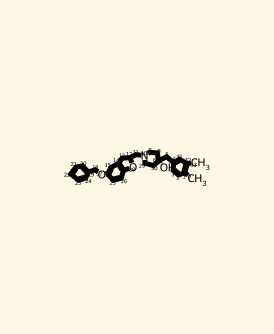 Cc1ccc(CC2(O)CCN(CC3Cc4cc(OCc5ccccc5)ccc4O3)CC2)cc1C